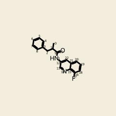 CC(Cc1ccccc1)C(=O)Nc1cnc2c(F)cccc2c1